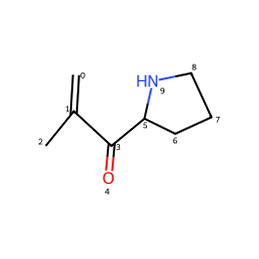 C=C(C)C(=O)C1CCCN1